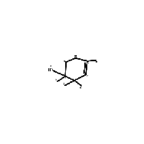 CC1=CC(C)(C)C(C)(O)CC1